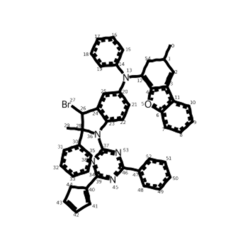 CC1C=c2c(oc3ccccc23)=C(N(c2ccccc2)c2ccc3c(c2)C(Br)C(C)(c2ccccc2)N3c2nc(C3=CC=CC3)nc(-c3ccccc3)n2)C1